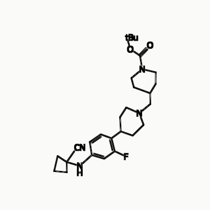 CC(C)(C)OC(=O)N1CCC(CN2CCC(c3ccc(NC4(C#N)CCC4)cc3F)CC2)CC1